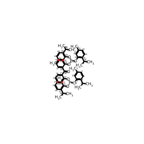 Cc1ccc(C(C)C)c(OP(Oc2ccccc2C(=O)c2ccccc2OP(Oc2cc(C)ccc2C(C)C)Oc2cc(C)ccc2C(C)C)Oc2cc(C)ccc2C(C)C)c1